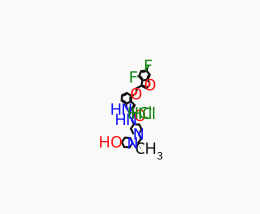 C[C@@H](CN1CCC(NC(=O)c2cc3c(OCc4coc5cc(F)cc(F)c45)cccc3[nH]2)CC1)N1CCC(O)CC1.Cl.Cl